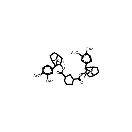 CC(=O)Oc1ccc(C[N+]2(C)C3CCC2CC(OC(=O)C2CCCC(C(=O)OC4CC5CCC(C4)[N+]5(C)Cc4ccc(OC(C)=O)c(OC(C)=O)c4)C2)C3)cc1OC(C)=O